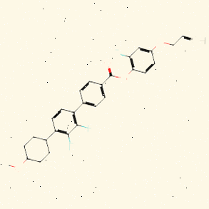 C=CCOc1ccc(OC(=O)c2ccc(-c3ccc(C4CCC(OCC)CC4)c(F)c3F)cc2)c(F)c1